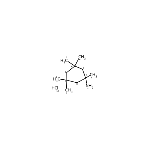 CC1(C)CC(C)(C)CC(C)(N)C1.Cl